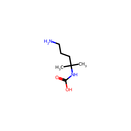 CC(C)(CCCN)NC(=O)O